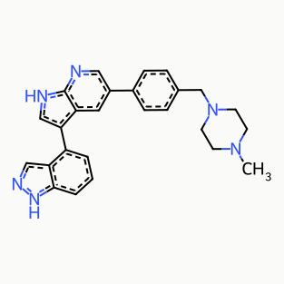 CN1CCN(Cc2ccc(-c3cnc4[nH]cc(-c5cccc6[nH]ncc56)c4c3)cc2)CC1